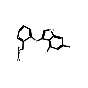 CNCc1ccccc1Sc1c[nH]c2cc(F)cc(F)c12